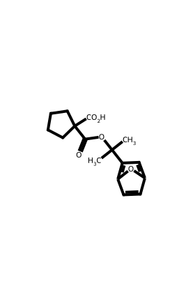 CC(C)(OC(=O)C1(C(=O)O)CCCC1)c1cc2ccc1o2